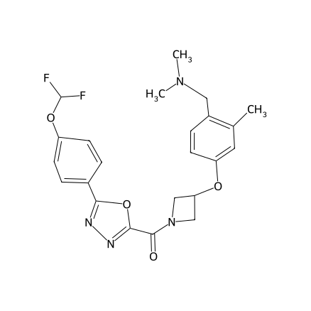 Cc1cc(OC2CN(C(=O)c3nnc(-c4ccc(OC(F)F)cc4)o3)C2)ccc1CN(C)C